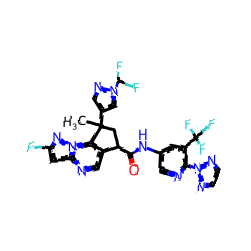 CC1(c2cnn(C(F)F)c2)CC(C(=O)Nc2cnc(-n3nccn3)c(C(F)(F)F)c2)c2cnc3cc(F)nn3c21